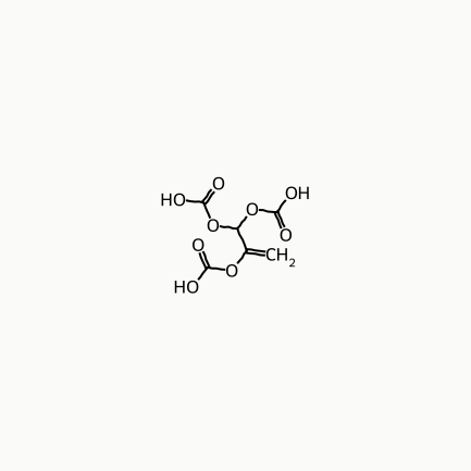 C=C(OC(=O)O)C(OC(=O)O)OC(=O)O